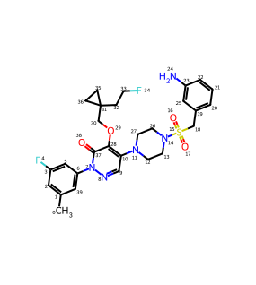 Cc1cc(F)cc(-n2ncc(N3CCN(S(=O)(=O)Cc4cccc(N)c4)CC3)c(OCC3(CCF)CC3)c2=O)c1